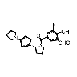 O=Cc1cc(C(=O)N2CCC[C@@H]2c2ccc(N3CCCC3)cc2)cc(F)c1O